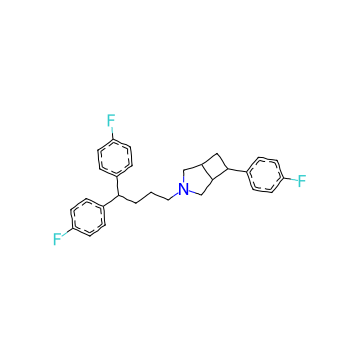 Fc1ccc(C(CCCN2CC3CC(c4ccc(F)cc4)C3C2)c2ccc(F)cc2)cc1